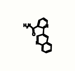 NC(=O)c1cccnc1-c1cnc2ccccc2c1